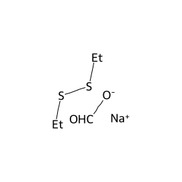 CCSSCC.O=C[O-].[Na+]